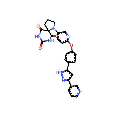 O=C1NC(=O)C2(CCCN2c2ccc(Oc3ccc(-c4cc(-c5cccnc5)n[nH]4)cc3)nc2)C(=O)N1